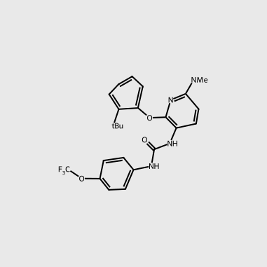 CNc1ccc(NC(=O)Nc2ccc(OC(F)(F)F)cc2)c(Oc2ccccc2C(C)(C)C)n1